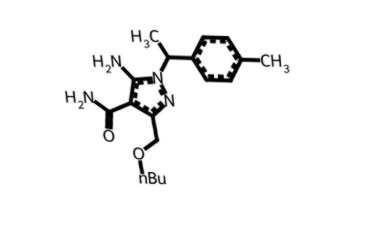 CCCCOCc1nn(C(C)c2ccc(C)cc2)c(N)c1C(N)=O